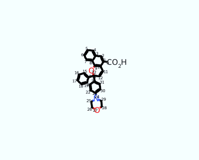 O=C(O)c1cc2ccccc2c2c1C=CC(c1ccccc1)(c1ccc(N3CCOCC3)cc1)O2